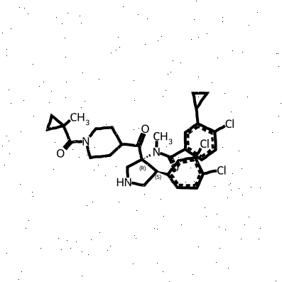 CN(C(=O)c1ccc(Cl)c(C2CC2)c1)[C@@]1(C(=O)C2CCN(C(=O)C3(C)CC3)CC2)CNC[C@@H]1c1ccc(Cl)c(Cl)c1